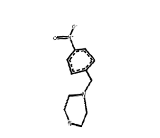 O=[N+]([O-])c1ccc(CN2CC[N]CC2)cc1